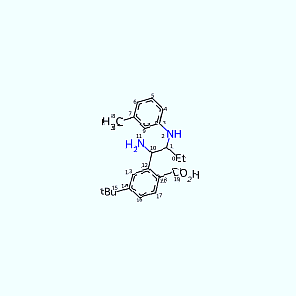 CCC(Nc1cccc(C)c1)C(N)c1cc(C(C)(C)C)ccc1C(=O)O